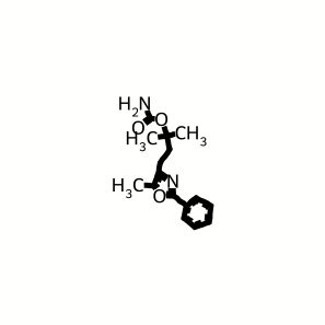 Cc1oc(-c2ccccc2)nc1CCC(C)(C)OC(N)=O